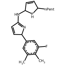 CCCCCC1C=CC(NC2=NC(c3cc(C)c(C)c(F)c3)C=C2)P1